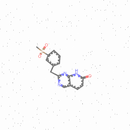 CS(=O)(=O)c1cccc(Cc2ncc3ccc(=O)[nH]c3n2)c1